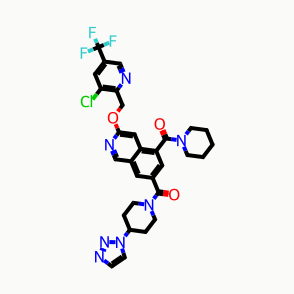 O=C(c1cc(C(=O)N2CCCCC2)c2cc(OCc3ncc(C(F)(F)F)cc3Cl)ncc2c1)N1CCC(n2ccnn2)CC1